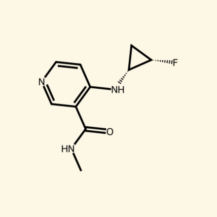 CNC(=O)c1cnccc1N[C@@H]1C[C@@H]1F